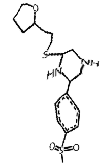 CS(=O)(=O)c1ccc(C2CNCC(SCC3CCCO3)N2)cc1